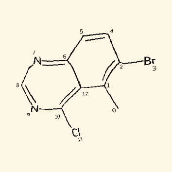 Cc1c(Br)ccc2ncnc(Cl)c12